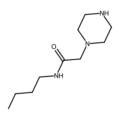 CCCCNC(=O)CN1CCNCC1